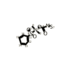 C[N+](C)(OC(=O)N=S)S(=O)(=O)c1ccccc1